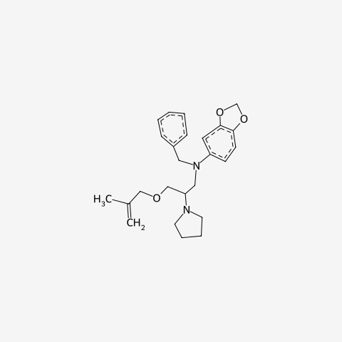 C=C(C)COCC(CN(Cc1ccccc1)c1ccc2c(c1)OCO2)N1CCCC1